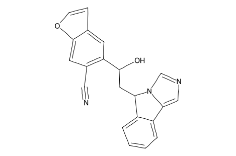 N#Cc1cc2occc2cc1C(O)CC1c2ccccc2-c2cncn21